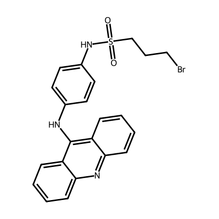 O=S(=O)(CCCBr)Nc1ccc(Nc2c3ccccc3nc3ccccc23)cc1